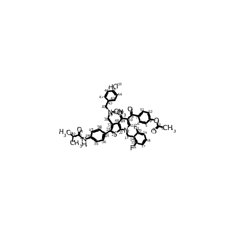 CC(=O)Oc1ccc(C(=O)c2cn(Cc3c(F)cccc3F)c3sc(-c4ccc(NC(=O)C(C)C)cc4)c(CN(C)Cc4ccccc4)c3c2=O)cc1.Cl